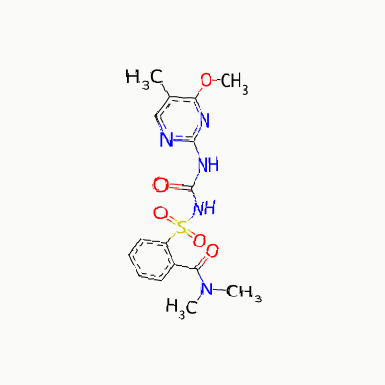 COc1nc(NC(=O)NS(=O)(=O)c2ccccc2C(=O)N(C)C)ncc1C